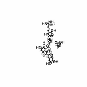 N=C(N)NCCC[C@H](NC(=O)Cn1cc(COC(=O)c2c(O)c(O)cc3occ(-c4cc5cc(O)c(O)cc5oc4=O)c(=O)c23)nn1)C(=O)O.O=C(O)C(F)(F)F